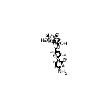 C[C@H]1C[C@@](C)(COP(=O)(O)OP(=O)(O)OP(=O)(O)O)O[C@H]1n1ccc(N)nc1=O